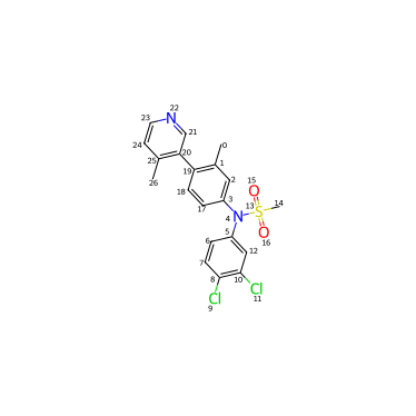 Cc1cc(N(c2ccc(Cl)c(Cl)c2)S(C)(=O)=O)ccc1-c1cnccc1C